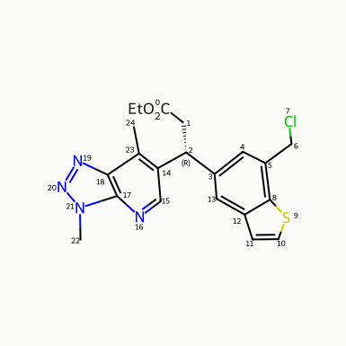 CCOC(=O)C[C@H](c1cc(CCl)c2sccc2c1)c1cnc2c(nnn2C)c1C